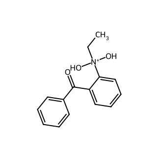 CC[N+](O)(O)c1ccccc1C(=O)c1ccccc1